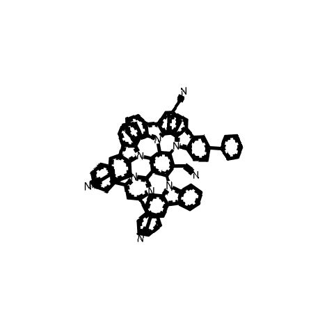 N#Cc1ccc2c(c1)c1ccccc1n2-c1c(C#N)c(-n2c3ccccc3c3cc(-c4ccccc4)ccc32)c(-n2c3ccccc3c3cc(C#N)ccc32)c(-n2c3ccccc3c3cc(C#N)ccc32)c1-c1nc(-c2ccccc2)cc(-c2ccccc2)n1